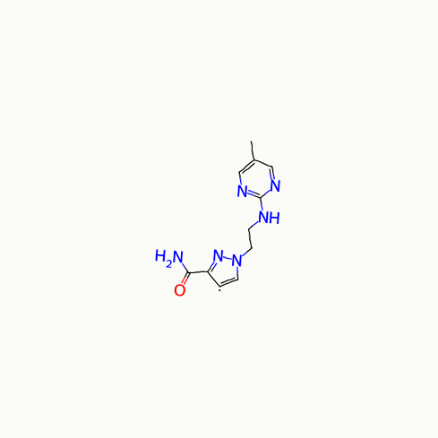 Cc1cnc(NCCn2c[c]c(C(N)=O)n2)nc1